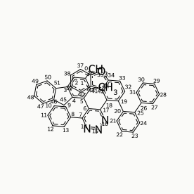 Cc1cc2c(c(-c3c(-c4ccccc4)nnnc3-c3c(-c4ccccc4-c4ccccc4)ccc4oc5ccccc5c34)c1C)Cc1ccccc1-2